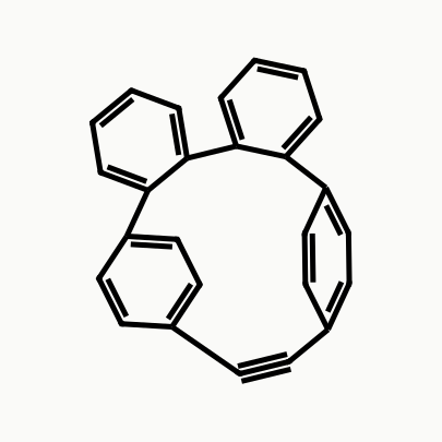 c1c2ccc(cc2)c2ccccc2c2ccccc2c2ccc(c#1)cc2